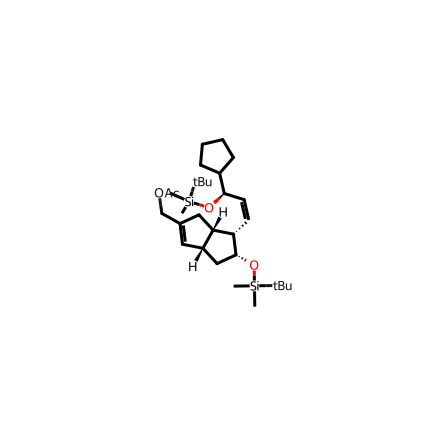 CC(=O)OCC1=C[C@H]2C[C@@H](O[Si](C)(C)C(C)(C)C)[C@@H](/C=C\[C@@H](O[Si](C)(C)C(C)(C)C)C3CCCC3)[C@H]2C1